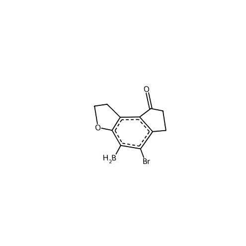 Bc1c(Br)c2c(c3c1OCC3)C(=O)CC2